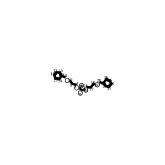 O=S(=O)(OCCCOCc1ccccc1)OCCCOCc1ccccc1